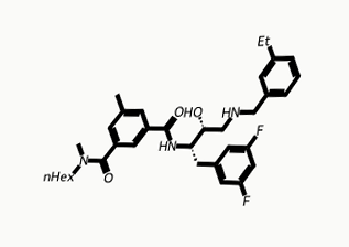 CCCCCCN(C)C(=O)c1cc(C)cc(C(=O)N[C@@H](Cc2cc(F)cc(F)c2)[C@H](O)CNCc2cccc(CC)c2)c1